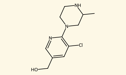 CC1CN(c2ncc(CO)cc2Cl)CCN1